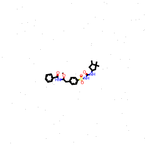 COC(Cc1ccc(S(=O)(=O)NC(=O)NC2CC(C)C(C)(C)C2)cc1)NC(=O)c1ccccc1